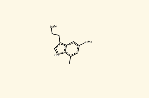 CNCCc1c[nH]c2c(C)cc(OC)cc12